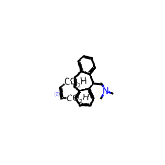 CN(C)CC1c2ccccc2C=Cc2ccccc21.O=C(O)/C=C\C(=O)O